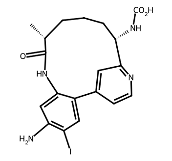 C[C@@H]1CCC[C@H](NC(=O)O)c2cc(ccn2)-c2cc(I)c(N)cc2NC1=O